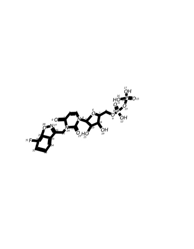 O=c1ccn(C2OC(COP(=O)(O)OP(=O)(O)O)C(O)C2O)c(=O)n1Cc1noc2c(F)cccc12